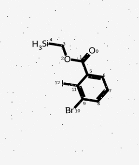 O=C(OC[SiH3])c1cccc(Br)c1I